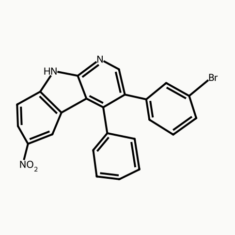 O=[N+]([O-])c1ccc2[nH]c3ncc(-c4cccc(Br)c4)c(-c4ccccc4)c3c2c1